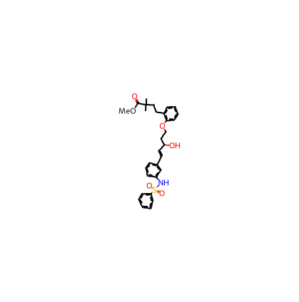 COC(=O)C(C)(C)CCc1ccccc1OCC[C@@H](O)/C=C/c1cccc(NS(=O)(=O)c2ccccc2)c1